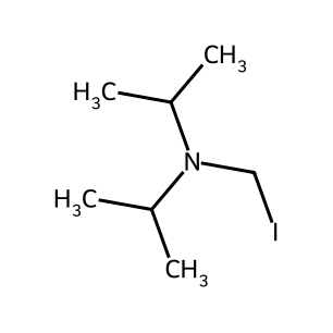 CC(C)N(CI)C(C)C